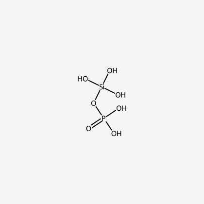 O=P(O)(O)O[Si](O)(O)O